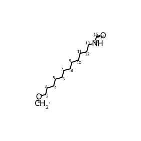 [CH2]OCCCCCCCCCCCCN[C]=O